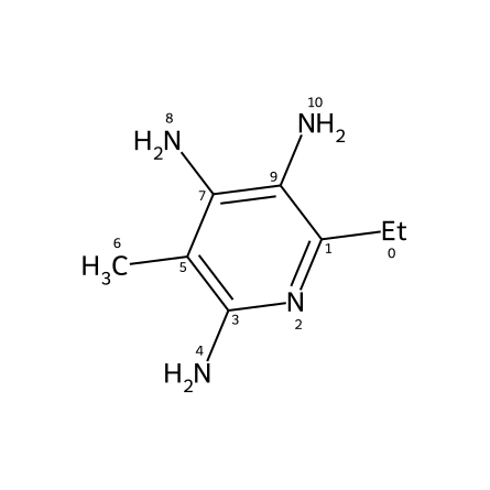 CCc1nc(N)c(C)c(N)c1N